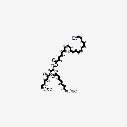 CC/C=C\C/C=C\C/C=C\C/C=C\C/C=C\CCCCCC(=O)OC[C@@H](COC(=O)CCCCCCCCCCCCCC)OC(=O)CCCCCCCCCCCCCCCC